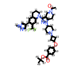 CC(=O)N1CCc2c(c(N3CCCc4cc(-c5cnn(C)c5)c(C(F)F)cc43)nn2C2CCN(C3CC(Oc4ccc(C(=O)OC(C)(C)C)cc4)C3)CC2)C1